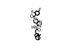 CC12C=C3CC(C1)CC(CC(=O)Nc1ncnc4c1CCN(C(=O)c1ccc(F)cc1F)C4)(C3)C2